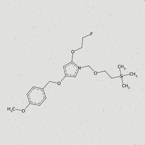 COc1ccc(COc2cc(OCCF)n(COCC[Si](C)(C)C)c2)cc1